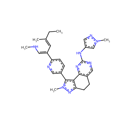 CC/C(C)=C/C(=C\NC)c1ccc(-c2c3c(nn2C)CCc2cnc(Nc4cnn(C)c4)nc2-3)cn1